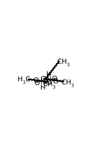 CCCCCCCCCCCCCCCCC1=C(NCCCC(=O)OCCCCCC)C(=O)C(C)=C(NCCCC(=O)OCCCCCC)C1=O